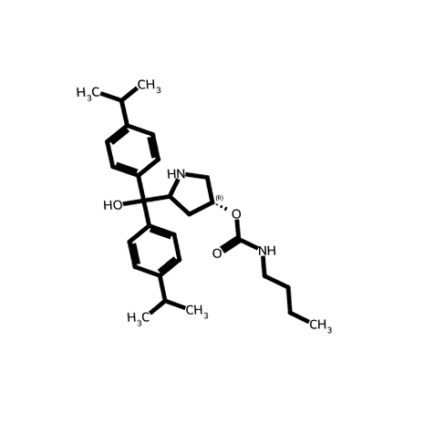 CCCCNC(=O)O[C@H]1CNC(C(O)(c2ccc(C(C)C)cc2)c2ccc(C(C)C)cc2)C1